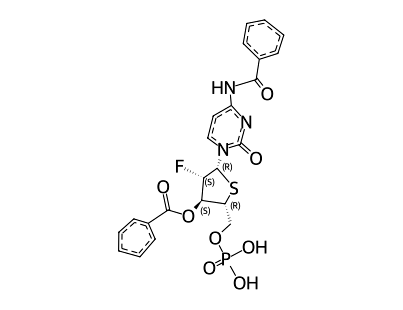 O=C(Nc1ccn([C@@H]2S[C@H](COP(=O)(O)O)[C@@H](OC(=O)c3ccccc3)[C@@H]2F)c(=O)n1)c1ccccc1